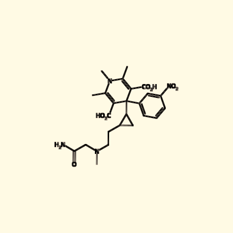 CC1=C(C(=O)O)C(c2cccc([N+](=O)[O-])c2)(C2CC2CCN(C)CC(N)=O)C(C(=O)O)=C(C)N1C